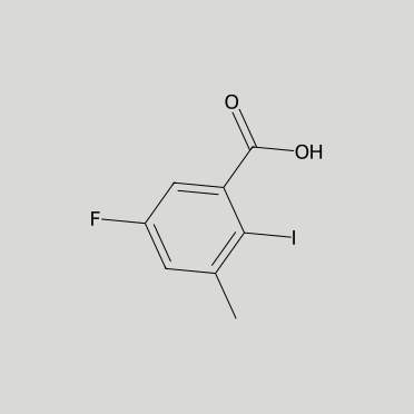 Cc1cc(F)cc(C(=O)O)c1I